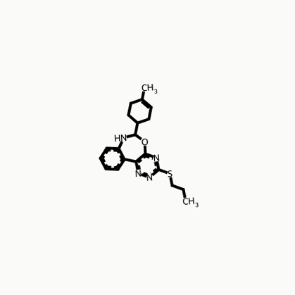 CCCSc1nnc2c(n1)OC(C1CC=C(C)CC1)Nc1ccccc1-2